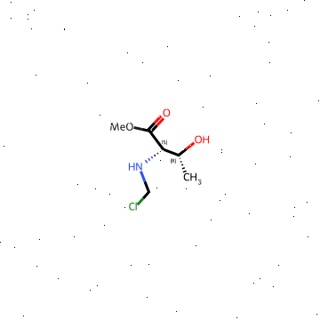 COC(=O)[C@@H](NCCl)[C@@H](C)O